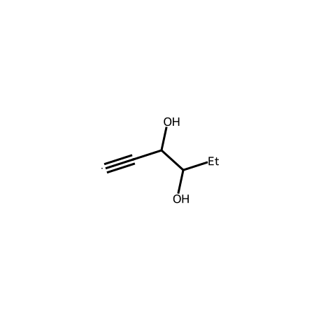 [C]#CC(O)C(O)CC